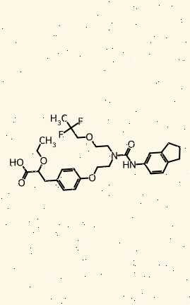 CCOC(Cc1ccc(OCCN(CCOCC(C)(F)F)C(=O)Nc2ccc3c(c2)CCC3)cc1)C(=O)O